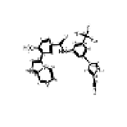 Cc1ccc(C(=O)Nc2cc(-n3cnc(C#N)c3)cc(C(F)(F)F)c2)cc1-c1cnc2cnccn12